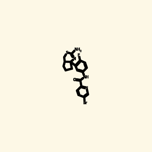 NC1=NC2(c3cc(NC(=O)c4ccc(Br)cn4)ccc3F)CCCC2CS1